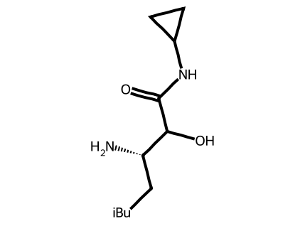 CCC(C)C[C@H](N)C(O)C(=O)NC1CC1